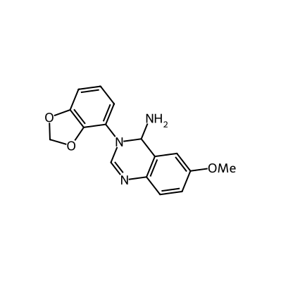 COc1ccc2c(c1)C(N)N(c1cccc3c1OCO3)C=N2